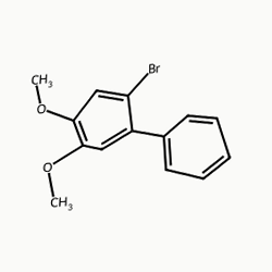 COc1cc(Br)c(-c2ccccc2)cc1OC